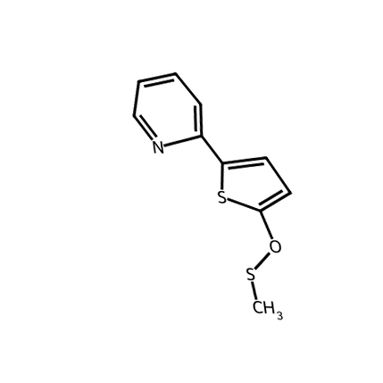 CSOc1ccc(-c2ccccn2)s1